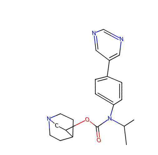 CC(C)N(C(=O)OC1CN2CCC1CC2)c1ccc(-c2cncnc2)cc1